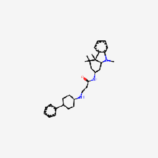 CN1c2ccccc2C2(C)C1C[C@@H](NC(=O)CCNC1CCC(c3ccccc3)CC1)CC2(C)C